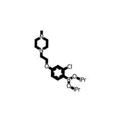 CC(C)OB(OC(C)C)c1ccc(OCCN2CCN(C)CC2)cc1Cl